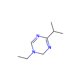 CCN1C=NC(C(C)C)=NC1